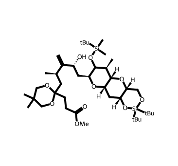 C=C([C@H](C)CC1(CCC(=O)OC)OCC(C)(C)CO1)[C@H](O)C[C@@H]1O[C@H]2C[C@H]3O[Si](C(C)(C)C)(C(C)(C)C)OC[C@H]3O[C@H]2[C@H](C)C1O[Si](C)(C)C(C)(C)C